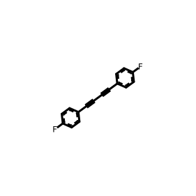 Fc1ccc(C#CC#Cc2ccc(F)cc2)cc1